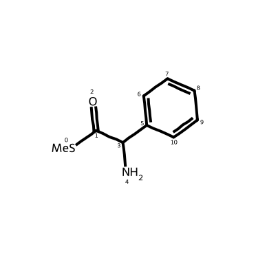 CSC(=O)C(N)c1ccccc1